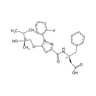 CC(C)[C@@](C)(O)COc1cc(C(=O)N[C@H](CC(=O)O)Cc2ccccc2)nn1-c1ccccc1F